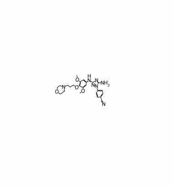 COc1cc(Nc2nc(N)n(-c3ccc(C#N)cc3)n2)cc(OC)c1OCCCN1CCOCC1